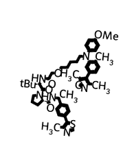 COc1ccc(N(CCCCCOCC(=O)N[C@H](C(=O)N2CCC[C@H]2C(=O)N[C@@H](C)c2ccc(-c3scnc3C)cc2)C(C)(C)C)c2cc(-c3c(C)noc3C)ccc2C)cc1